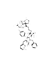 COC(=O)[C@H](Cc1ccc(N2C(=O)C(Cc3ccccc3)N(C(C)=O)C2Cc2cccnc2)cc1)NC(=O)C1(CCCCS(C)(=O)=O)CCCC1